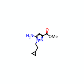 COC(=O)c1cc(N)n(CCC2CC2)n1